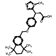 Cn1cnnc1[C@@H](CC(=O)O)c1ccc(OCc2ccc3c(c2)C(C)(C)CCC3(C)C)cc1